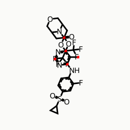 Cc1c(Nc2ccc(S(=O)(=O)C3CC3)cc2F)ncnc1OC1CC2COCC(C1)N2C(=O)OC(C(F)(F)F)C(F)(F)F